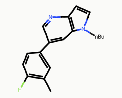 CCCCn1ccc2ncc(-c3ccc(F)c(C)c3)cc21